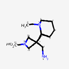 CN1CCCCC1C1(CN)CN(C(=O)O)C1